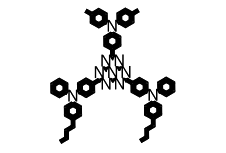 CCCCc1ccc(N(c2ccccc2)c2ccc(C3=NC4=NC(c5ccc(N(c6ccc(C)cc6)c6ccc(C)cc6)cc5)=NC5=NC(c6ccc(N(c7ccccc7)c7ccc(CCCC)cc7)cc6)=NC(=N3)N45)cc2)cc1